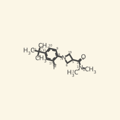 CN(C)C(=O)C1CN(c2ccc(C(C)(C)C)cc2F)C1